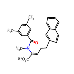 CCOC(=O)C(=CCCc1ccc2ccccc2c1)N(C)C(=O)c1cc(C(F)(F)F)cc(C(F)(F)F)c1